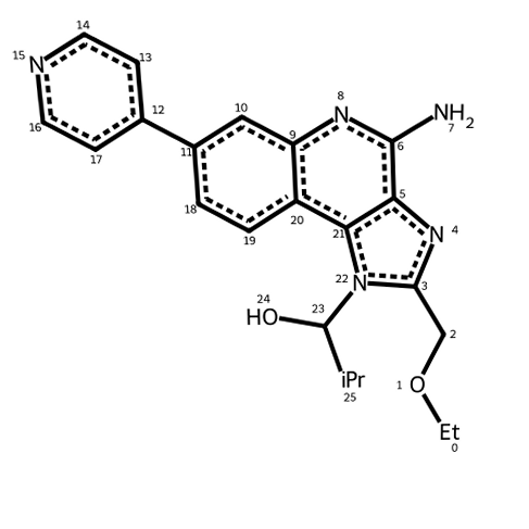 CCOCc1nc2c(N)nc3cc(-c4ccncc4)ccc3c2n1C(O)C(C)C